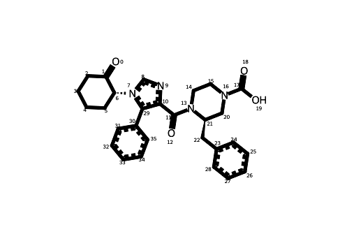 O=C1CCCC[C@H]1n1cnc(C(=O)N2CCN(C(=O)O)C[C@H]2Cc2ccccc2)c1-c1ccccc1